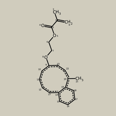 C=C(C)C(=O)OCCOc1ccccc2ccccc2c(C)cc1